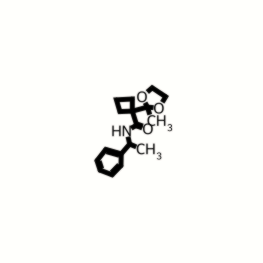 CC(NC(=O)C1(C2(C)OCCO2)CCC1)c1ccccc1